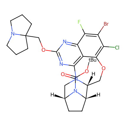 CC(C)(C)OC(=O)N1[C@@H]2CC[C@H]1[C@H]1COc3c(Cl)c(Br)c(F)c4nc(OCC56CCCN5CCC6)nc(c34)N1C2